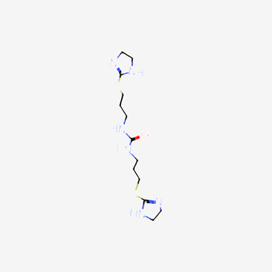 O=C(NCCCSC1=NCCN1)NCCCSC1=NCCN1